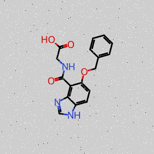 O=C(O)CNC(=O)c1c(OCc2ccccc2)ccc2[nH]cnc12